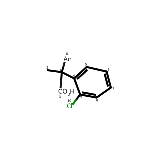 CC(=O)C(C)(C(=O)O)c1ccccc1Cl